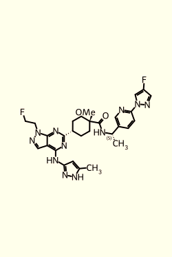 CO[C@]1(C(=O)N[C@@H](C)c2ccc(-n3cc(F)cn3)nc2)CC[C@@H](c2nc(Nc3cc(C)[nH]n3)c3cnn(CCF)c3n2)CC1